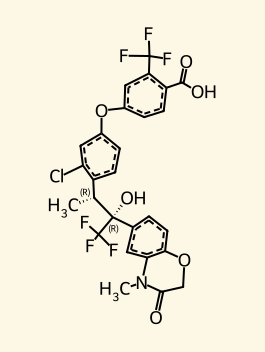 C[C@H](c1ccc(Oc2ccc(C(=O)O)c(C(F)(F)F)c2)cc1Cl)[C@@](O)(c1ccc2c(c1)N(C)C(=O)CO2)C(F)(F)F